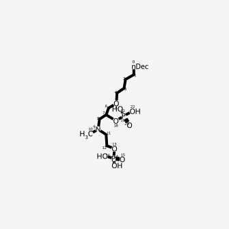 CCCCCCCCCCCCCCOCC(CN(C)CCOP(=O)(O)O)OP(=O)(O)O